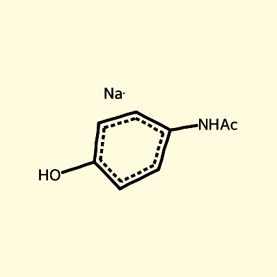 CC(=O)Nc1ccc(O)cc1.[Na]